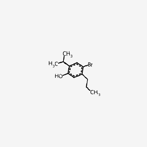 CCCc1cc(O)c(C(C)C)cc1Br